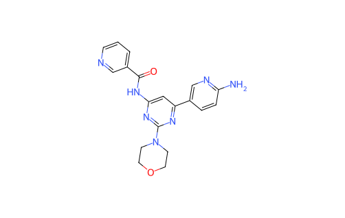 Nc1ccc(-c2cc(NC(=O)c3cccnc3)nc(N3CCOCC3)n2)cn1